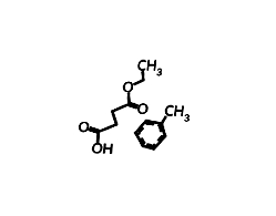 CCOC(=O)CCC(=O)O.Cc1ccccc1